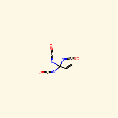 C=CC(N=C=O)(N=C=O)N=C=O